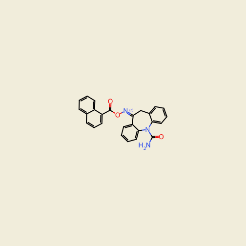 NC(=O)N1c2ccccc2C/C(=N/OC(=O)c2cccc3ccccc23)c2ccccc21